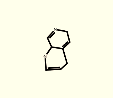 C1=C[N]C2C=NCC=C2C1